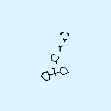 C[N@@+]1(CC(=O)Nc2ncncn2)CCC(OC(=O)C(O)(c2ccccc2)C2CCCC2)C1.[Br-]